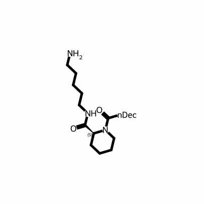 CCCCCCCCCCC(=O)N1CCCC[C@H]1C(=O)NCCCCCN